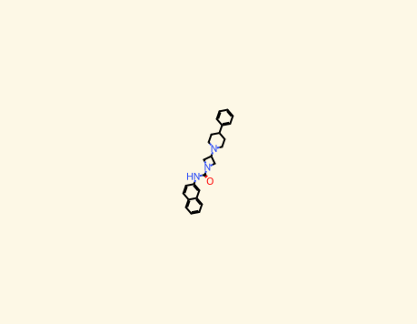 O=C(Nc1ccc2ccccc2c1)N1CC(N2CCC(c3ccccc3)CC2)C1